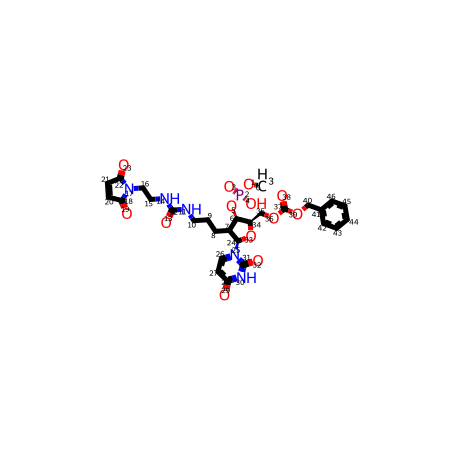 COP(=O)(O)O[C@@H]1C(CCCNC(=O)NCCN2C(=O)C=CC2=O)[C@H](n2ccc(=O)[nH]c2=O)O[C@@H]1COC(=O)OCc1ccccc1